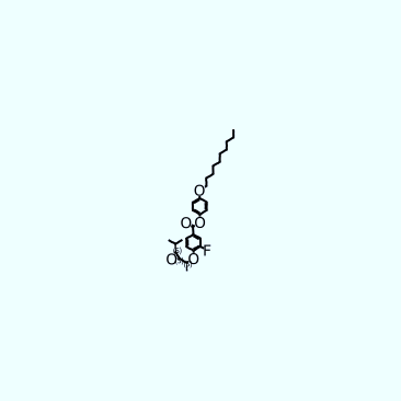 CCCCCCCCCCOc1ccc(OC(=O)c2ccc(O[C@@H](C)[C@@H]3O[C@H]3C(C)C)c(F)c2)cc1